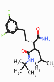 CC(C)CC(C(=O)NC(C)(C)C)[C@H](CCc1cc(F)cc(F)c1)C(N)=O